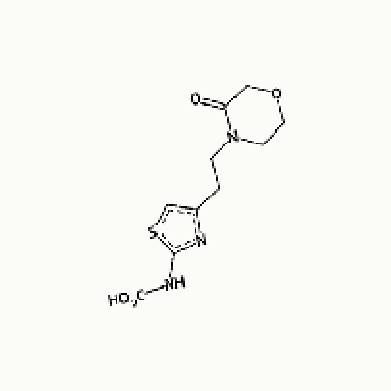 O=C(O)Nc1nc(CCN2CCOCC2=O)cs1